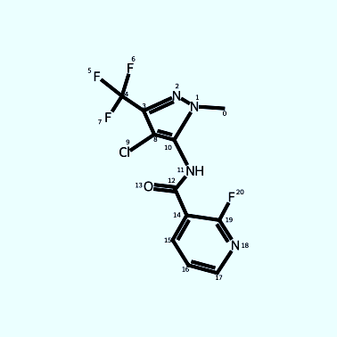 Cn1nc(C(F)(F)F)c(Cl)c1NC(=O)c1cccnc1F